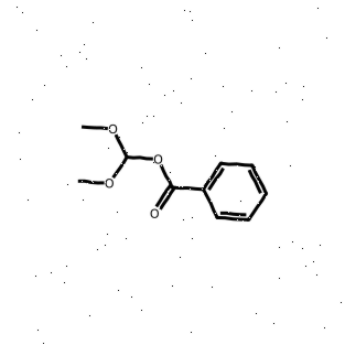 COC(OC)OC(=O)c1ccccc1